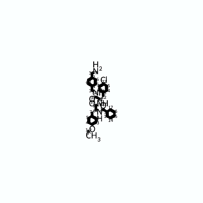 CCOc1ccc(C[C@@H](NC(=O)c2ccccc2)C(=O)N[C@@H](Cc2ccc(Cl)cc2)C(=O)NCc2ccc(CN)cc2)cc1